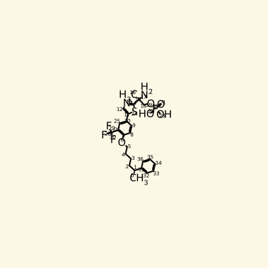 C[C@@H](CCCCOc1ccc(-c2cnc(C(C)(N)COP(=O)(O)O)s2)cc1C(F)(F)F)c1ccccc1